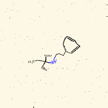 CCCCC(C)(CCCC)NCCc1ccccc1